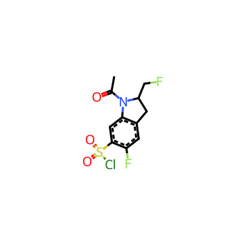 CC(=O)N1c2cc(S(=O)(=O)Cl)c(F)cc2CC1CF